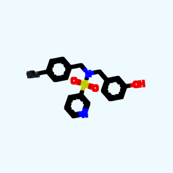 CC(C)(C)c1ccc(CN(Cc2cccc(O)c2)S(=O)(=O)c2cccnc2)cc1